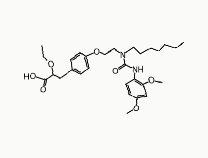 CCCCCCCN(CCOc1ccc(CC(OCC)C(=O)O)cc1)C(=O)Nc1ccc(OC)cc1OC